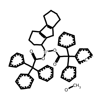 C[O-].O=C([O][Ti+]([O]C(=O)C(c1ccccc1)(c1ccccc1)c1ccccc1)[CH]1CCCC2=C1CC1=C2CCCC1)C(c1ccccc1)(c1ccccc1)c1ccccc1